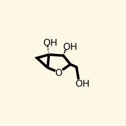 OCC1OC2C[C@@]2(O)[C@@H]1O